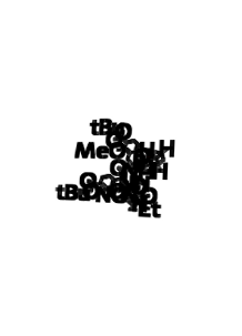 CCN1CCN(C(=O)NC(C(=O)N[C@@H](Cc2cccc(C(=O)OC(C)(C)C)c2OC)B2O[C@@H]3C[C@@H]4C[C@@H](C4(C)C)[C@]3(C)O2)c2ccc(C(=O)OC(C)(C)C)c([N+](=O)[O-])c2)C(=O)C1=O